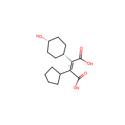 O=C(O)/C(=C(\C(=O)O)[C@H]1CC[C@@H](O)CC1)C1CCCC1